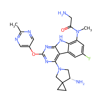 Cc1ncc(Oc2nc(N3C[C@H](N)C4(CC4)C3)c3c(n2)[nH]c2c(N(C)C(=O)CN)cc(F)cc23)cn1